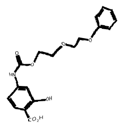 O=C(Nc1ccc(C(=O)O)c(O)c1)OCCOCCOc1ccccc1